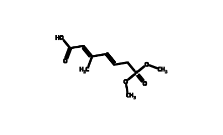 COP(=O)(C/C=C/C(C)=C/C(=O)O)OC